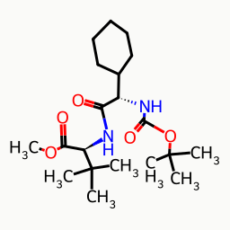 COC(=O)[C@@H](NC(=O)[C@@H](NC(=O)OC(C)(C)C)C1CCCCC1)C(C)(C)C